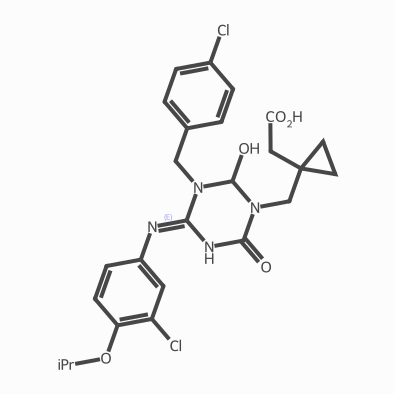 CC(C)Oc1ccc(/N=C2\NC(=O)N(CC3(CC(=O)O)CC3)C(O)N2Cc2ccc(Cl)cc2)cc1Cl